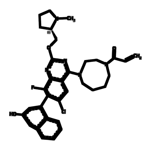 C=CC(=O)N1CCCCN(c2nc(OC[C@@H]3CCCN3C)nc3c(F)c(-c4cc(O)cc5ccccc45)c(Cl)cc23)CC1